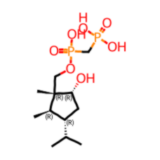 CC(C)[C@H]1C[C@@H](O)[C@@](C)(COP(=O)(O)CP(=O)(O)O)[C@@H]1C